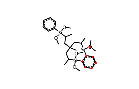 CO[Si](OC)(c1ccccc1)C(C)CC(C)(CC(C)[Si](OC)(OC)c1ccccc1)CC(C)[Si](OC)(OC)c1ccccc1